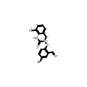 O=Cc1cc(Br)ccc1SN(Cc1cccc(Cl)c1)C(=O)O